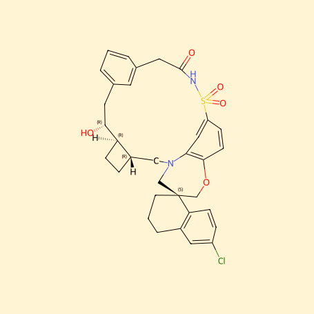 O=C1Cc2cccc(c2)C[C@@H](O)[C@@H]2CC[C@H]2CN2C[C@@]3(CCCc4cc(Cl)ccc43)COc3ccc(cc32)S(=O)(=O)N1